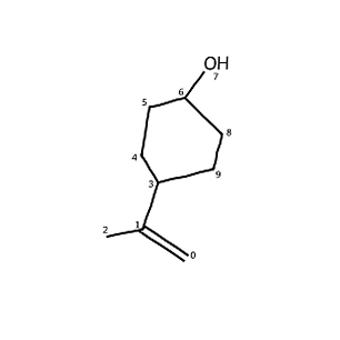 C=C(C)C1CCC(O)CC1